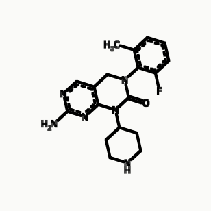 Cc1cccc(F)c1N1Cc2cnc(N)nc2N(C2CCNCC2)C1=O